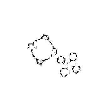 C1=Cc2cc3ccc(cc4nc(cc5ccc(cc1n2)[nH]5)C=C4)[nH]3.c1cc[c]([Au]([c]2ccccn2)([c]2ccccn2)[c]2ccccn2)nc1